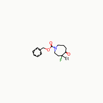 CCC1(F)CCN(C(=O)OCc2ccccc2)CCCC1=O